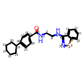 O=C(NCCNc1nsc2ccccc12)c1ccc(C2CCCCC2)cc1